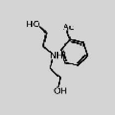 CC(=O)c1ccccc1.OCCNCCO